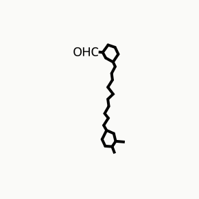 CC1CCC(CCCCCCCCCCC2CCCC(C=O)C2)CC1C